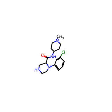 CN1CCC(NC(=O)C2CNCCN2c2cccc(Cl)c2)CC1